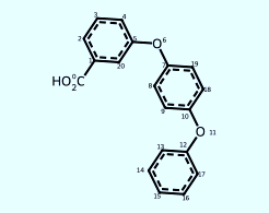 O=C(O)c1cccc(Oc2ccc(Oc3ccccc3)cc2)c1